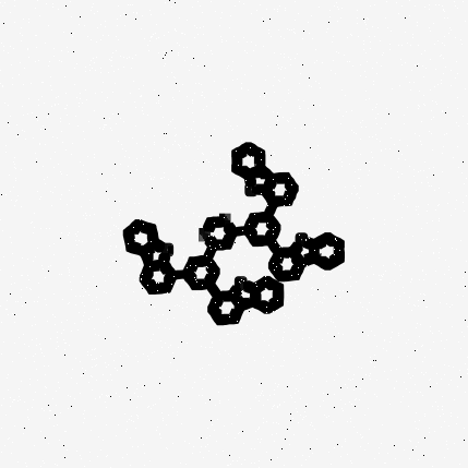 c1ccc2c(c1)oc1c(-c3cc(-c4cc(-c5cc(-c6cccc7c6oc6ccccc67)cc(-c6cccc7c6oc6ccccc67)c5)ncn4)cc(-c4cccc5c4oc4ccccc45)c3)cccc12